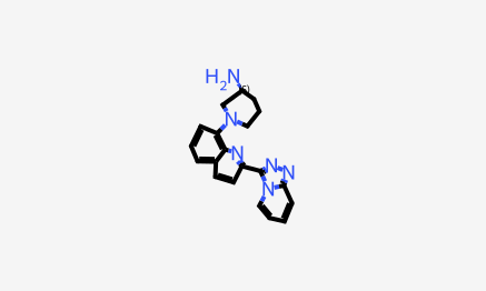 N[C@H]1CCCN(c2cccc3ccc(-c4nnc5ccccn45)nc23)C1